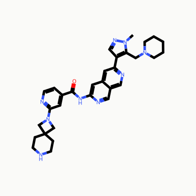 Cn1ncc(-c2cc3cc(NC(=O)c4ccnc(N5CC6(CCNCC6)C5)c4)ncc3cn2)c1CN1CCCCC1